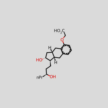 CCC[C@H](O)CC[C@@H]1[C@H]2Cc3cccc(OCC(=O)O)c3C[C@H]2C[C@H]1O